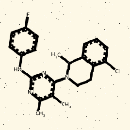 Cc1nc(Nc2ccc(F)cc2)nc(N2CCc3c(Cl)cccc3C2C)c1C